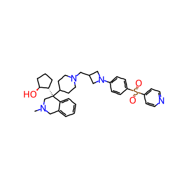 CN1Cc2ccccc2C(C2CCN(CC3CN(c4ccc(S(=O)(=O)c5ccncc5)cc4)C3)CC2)([C@H]2CCC[C@@H]2O)C1